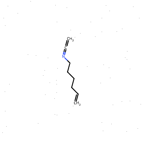 C=C=NCCCCC=C